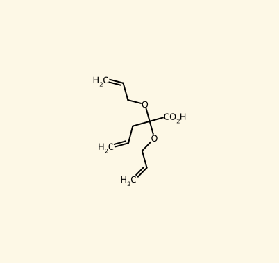 C=CCOC(CC=C)(OCC=C)C(=O)O